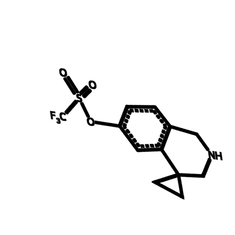 O=S(=O)(Oc1ccc2c(c1)C1(CC1)CNC2)C(F)(F)F